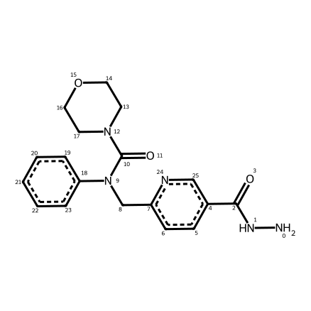 NNC(=O)c1ccc(CN(C(=O)N2CCOCC2)c2ccccc2)nc1